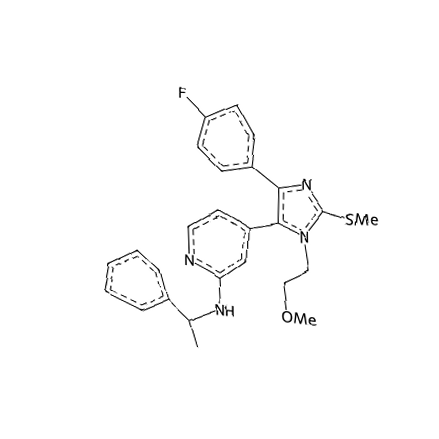 COCCn1c(SC)nc(-c2ccc(F)cc2)c1-c1ccnc(NC(C)c2ccccc2)c1